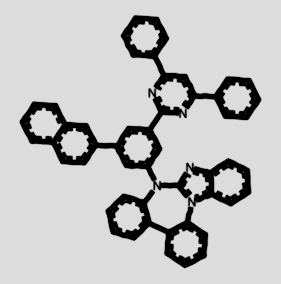 c1ccc(-c2cc(-c3ccccc3)nc(-c3cc(-c4ccc5ccccc5c4)cc(N4c5ccccc5-c5ccccc5-n5c4nc4ccccc45)c3)n2)cc1